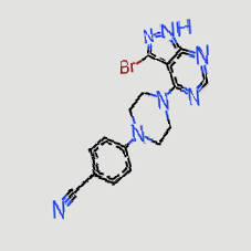 N#Cc1ccc(N2CCN(c3ncnc4[nH]nc(Br)c34)CC2)cc1